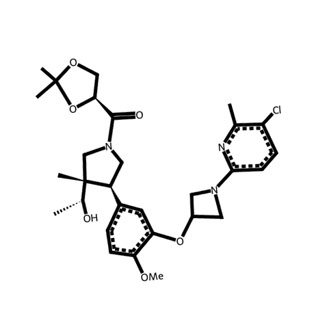 COc1ccc([C@@H]2CN(C(=O)[C@@H]3COC(C)(C)O3)C[C@@]2(C)[C@@H](C)O)cc1OC1CN(c2ccc(Cl)c(C)n2)C1